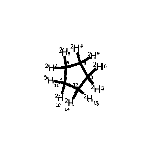 [2H]C1([2H])C([2H])([2H])C([2H])([2H])C([2H])([2H])C1([2H])[2H]